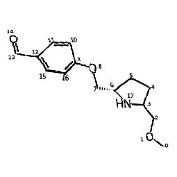 COCC1CC[C@@H](COc2ccc(C=O)cc2)N1